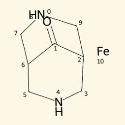 O=C1C2CNCC1CNC2.[Fe]